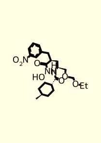 CCOCOC[C@H](C[C@H](Cc1cccc([N+](=O)[O-])c1)C(=O)NO)NC(=O)[C@H]1CC[C@H](C)CC1